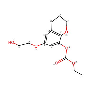 CCOC(=O)Oc1cc(OCCO)cc2c1OCCC2